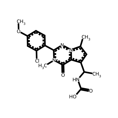 COc1ccc(-c2nn3c(C)cc(C(C)NC(=O)O)c3c(=O)n2C)c(Cl)c1